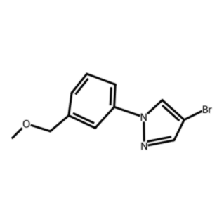 COCc1cccc(-n2cc(Br)cn2)c1